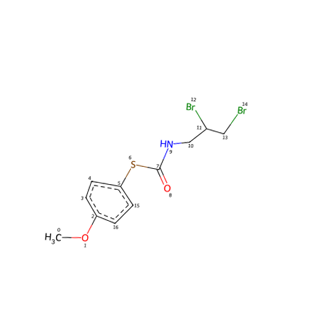 COc1ccc(SC(=O)NCC(Br)CBr)cc1